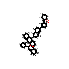 c1ccc(-c2c3ccccc3c(-c3ccc4cc(-c5ccc6oc7ccccc7c6c5)ccc4c3)c3ccccc23)c(-c2ccc3ccccc3c2)c1